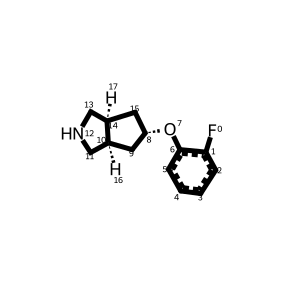 Fc1ccccc1O[C@@H]1C[C@H]2CNC[C@H]2C1